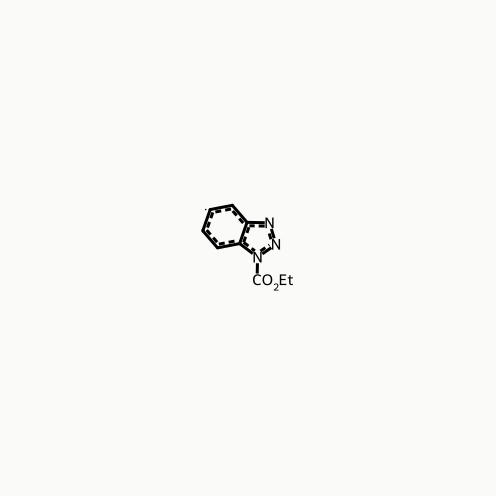 CCOC(=O)n1nnc2c[c]ccc21